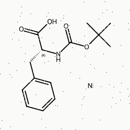 CC(C)(C)OC(=O)N[C@H](Cc1ccccc1)C(=O)O.[N]